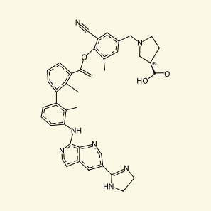 C=C(Oc1c(C)cc(CN2CC[C@@H](C(=O)O)C2)cc1C#N)c1cccc(-c2cccc(Nc3nccc4cc(C5=NCCN5)cnc34)c2C)c1C